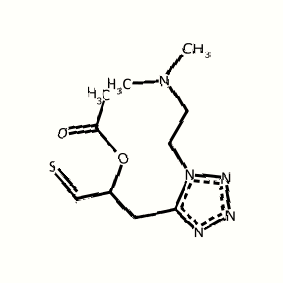 CC(=O)OC([C]=S)Cc1nnnn1CCN(C)C